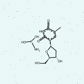 Cc1cn([C@H]2C[C@H](O)[C@@H](CO)O2)c(=O)[nH]c1=O.NP(O)O